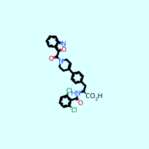 O=C(N[C@@H](Cc1ccc(C2=CCN(C(=O)c3onc4ccccc34)CC2)cc1)C(=O)O)c1c(Cl)cccc1Cl